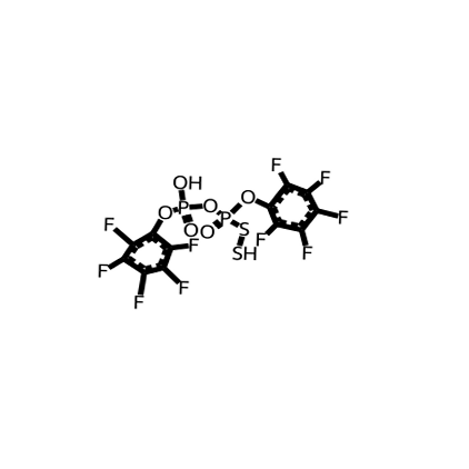 O=P(O)(Oc1c(F)c(F)c(F)c(F)c1F)OP(=O)(Oc1c(F)c(F)c(F)c(F)c1F)SS